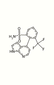 NS(=O)(=O)c1cccc(C(F)(F)F)c1-c1ccnc2[nH]ccc12